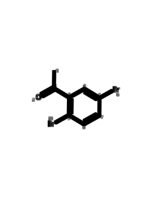 CC(=O)c1cc(Br)ccc1Br